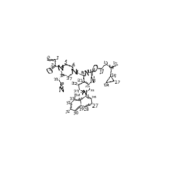 C=CC(=O)N1CCN(c2nc(OCCC(C)C3CC3)nc3c2CCN(c2cccc4cccc(C)c24)C3)C[C@@H]1CC#N